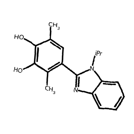 Cc1cc(-c2nc3ccccc3n2C(C)C)c(C)c(O)c1O